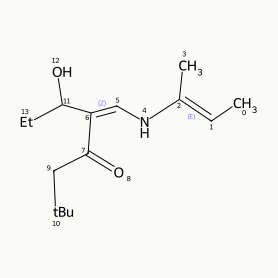 C/C=C(\C)N/C=C(\C(=O)CC(C)(C)C)C(O)CC